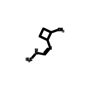 CN/C=N\C1CCC1C